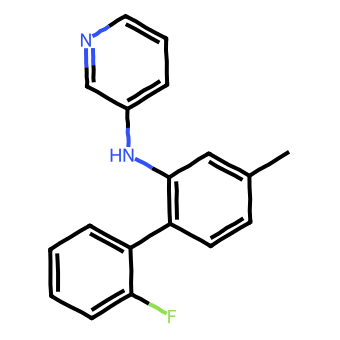 Cc1ccc(-c2ccccc2F)c(Nc2cccnc2)c1